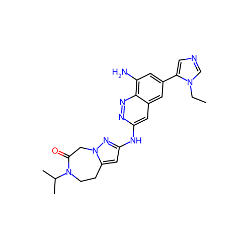 CCn1cncc1-c1cc(N)c2nnc(Nc3cc4n(n3)CC(=O)N(C(C)C)CC4)cc2c1